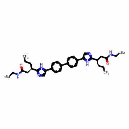 CC(C)(C)CNC(=O)C[C@@H](CCC(F)(F)F)c1ncc(-c2ccc(-c3ccc(-c4cnc([C@H](CCC(F)(F)F)CC(=O)NCC(C)(C)C)[nH]4)cc3)cc2)[nH]1